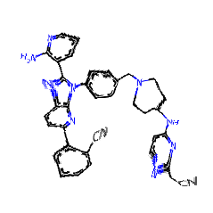 N#Cc1nccc(NC2CCN(Cc3ccc(-n4c(-c5cccnc5N)nc5ccc(-c6ccccc6C#N)nc54)cc3)CC2)n1